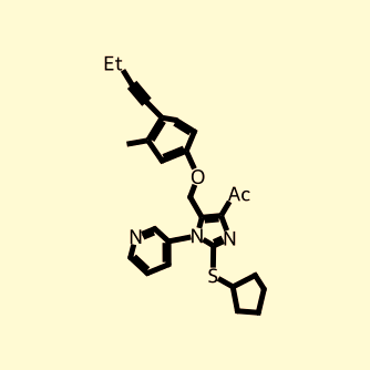 CCC#Cc1ccc(OCc2c(C(C)=O)nc(SC3CCCC3)n2-c2cccnc2)cc1C